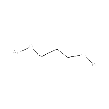 CC(=O)OCCCOBr